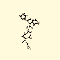 CN(CC(F)(F)F)[C@H]1CC[C@H](NC(=O)c2nc(-n3ccnc3)cc3cn[nH]c23)CC1